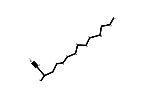 [CH2]C(C#N)CCCCCCCCCCCC